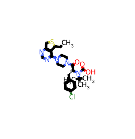 CCC1SCc2ncnc(N3CCN(C(=O)[C@@H](Cc4ccc(Cl)cc4)N(C(=O)O)C(C)(C)C)CC3)c21